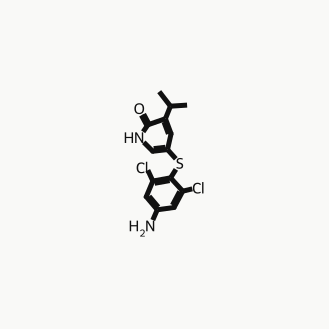 CC(C)c1cc(Sc2c(Cl)cc(N)cc2Cl)c[nH]c1=O